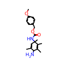 COc1ccc(COC(=O)NC2(C)C=C(C)C(N)C(C)=C2C)cc1